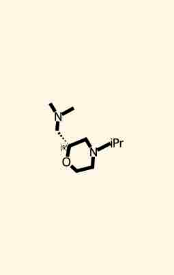 CC(C)N1CCO[C@H](CN(C)C)C1